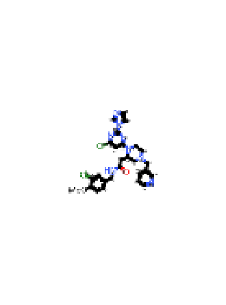 COc1ccc(CNC(=O)CC2CN(Cc3cccnc3)CCN2c2cc(Cl)nc(-n3ccnc3)n2)cc1Cl